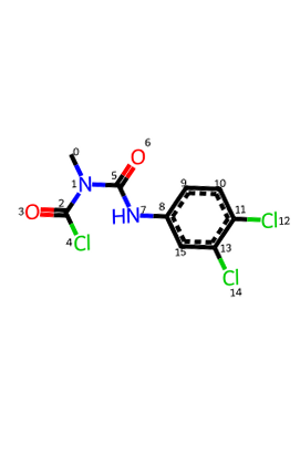 CN(C(=O)Cl)C(=O)Nc1ccc(Cl)c(Cl)c1